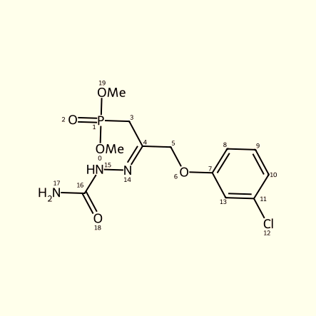 COP(=O)(CC(COc1cccc(Cl)c1)=NNC(N)=O)OC